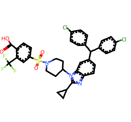 O=C(O)c1ccc(S(=O)(=O)N2CCC(n3c(C4CC4)nc4ccc(C(c5ccc(Cl)cc5)c5ccc(Cl)cc5)cc43)CC2)cc1C(F)(F)F